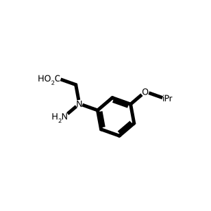 CC(C)Oc1cccc(N(N)CC(=O)O)c1